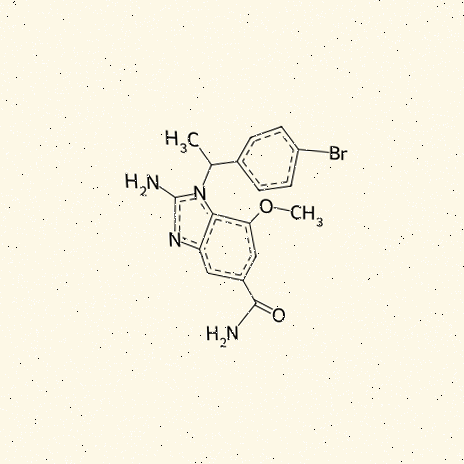 COc1cc(C(N)=O)cc2nc(N)n(C(C)c3ccc(Br)cc3)c12